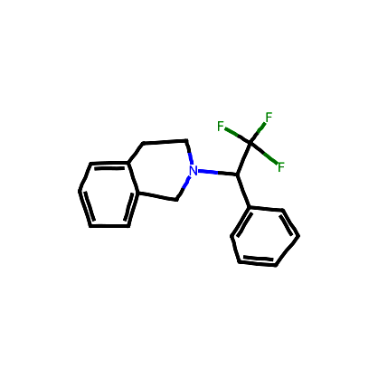 FC(F)(F)C(c1ccccc1)N1CCc2ccccc2C1